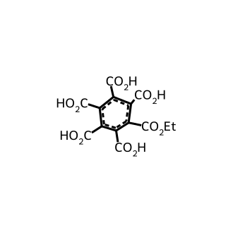 CCOC(=O)c1c(C(=O)O)c(C(=O)O)c(C(=O)O)c(C(=O)O)c1C(=O)O